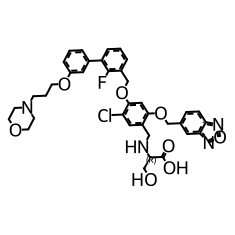 O=C(O)[C@@H](CO)NCc1cc(Cl)c(OCc2cccc(-c3cccc(OCCCN4CCOCC4)c3)c2F)cc1OCc1ccc2nonc2c1